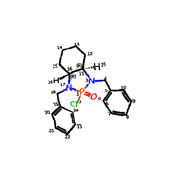 O=P1(Cl)N(Cc2ccccc2)[C@@H]2CCCC[C@H]2N1Cc1ccccc1